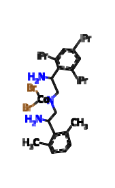 Cc1cccc(C)c1C(N)C[N](CC(N)c1c(C(C)C)cc(C(C)C)cc1C(C)C)[Co]([Br])[Br]